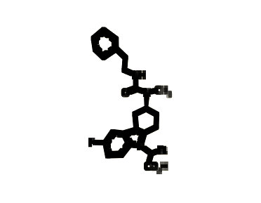 CCC(C(=O)O)n1c2c(c3cc(F)ccc31)C[C@@H](N(C)C(=O)NCCc1ccccc1)CC2